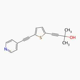 CC(C)(O)C#Cc1ccc(C#Cc2ccncc2)s1